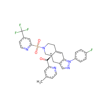 Cc1ccnc(C(=O)[C@]23Cc4cnn(-c5ccc(F)cc5)c4C=C2CCN(S(=O)(=O)c2cc(C(F)(F)F)ccn2)C3)c1